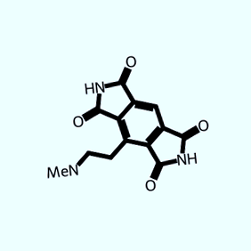 CNCCc1c2c(=O)[nH]c(=O)c2cc2c(=O)[nH]c(=O)c12